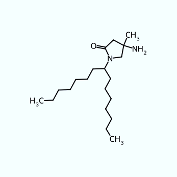 CCCCCCCC(CCCCCCC)N1CC(C)(N)CC1=O